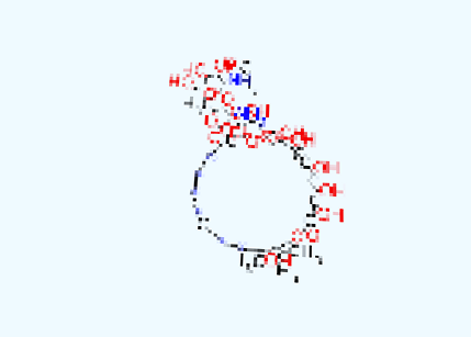 CC(=O)NC1C(OC2C(C)OC(OC3/C=C/C=C/C=C/C=C/CC/C=C/C=C/C(C)C(O)C(C)C(C)OC(=O)CC(O)CC(O)CC(O)CCC(O)C(O)CC4(O)CC(O)C(C(=O)O)C(C3)O4)C(O)C2N)OC(CO)C(O)C1O